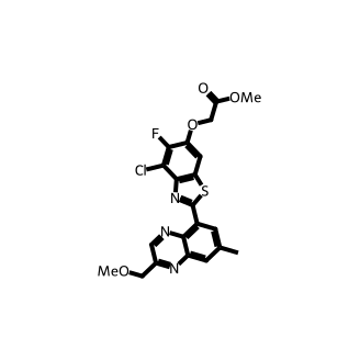 COCc1cnc2c(-c3nc4c(Cl)c(F)c(OCC(=O)OC)cc4s3)cc(C)cc2n1